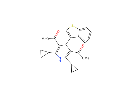 COC(=O)C1=C(C2CC2)NC(C2CC2)=C(C(=O)OC)C1c1csc2ccccc12